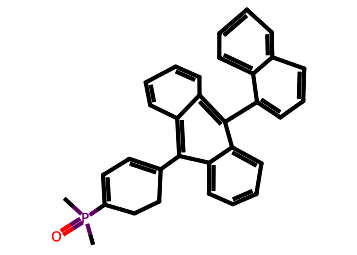 CP(C)(=O)C1=CC=C(c2c3ccccc3c(-c3cccc4ccccc34)c3ccccc23)CC1